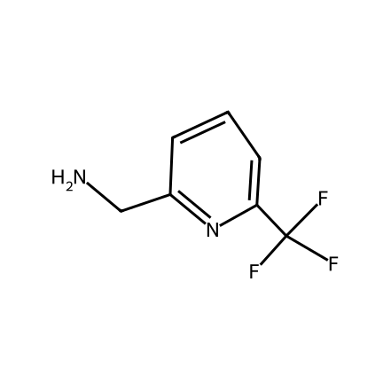 NCc1cccc(C(F)(F)F)n1